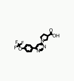 O=C(O)C1CCN(c2cc(-c3ccc(OC(F)(F)F)cc3)ncn2)C1